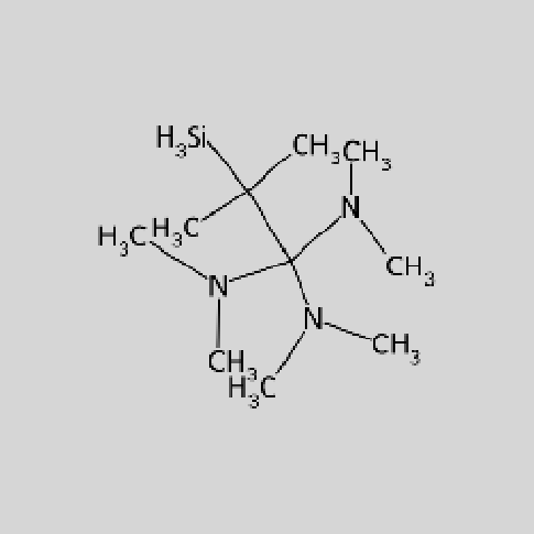 CN(C)C(N(C)C)(N(C)C)C(C)(C)[SiH3]